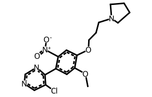 COc1cc(-c2ncncc2Cl)c([N+](=O)[O-])cc1OCCCN1CCCC1